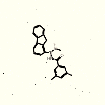 Cc1cc(C)cc(C(=O)[NH][Ti]([c]2cccc3c2Cc2ccccc2-3)[SiH](C)C)c1